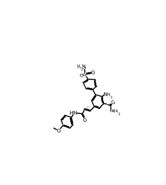 COc1ccc(NC(=O)/C=C/c2cc(C(N)=O)c(N)c(-c3ccc(S(N)(=O)=O)cc3)c2)cc1